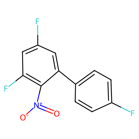 O=[N+]([O-])c1c(F)cc(F)cc1-c1ccc(F)cc1